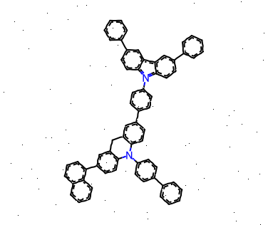 c1ccc(-c2ccc(N3c4ccc(-c5ccc(-n6c7ccc(-c8ccccc8)cc7c7cc(-c8ccccc8)ccc76)cc5)cc4Cc4cc(-c5cccc6ccccc56)ccc43)cc2)cc1